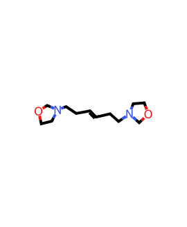 C(=CCCN1CCOC1)CCN1CCOC1